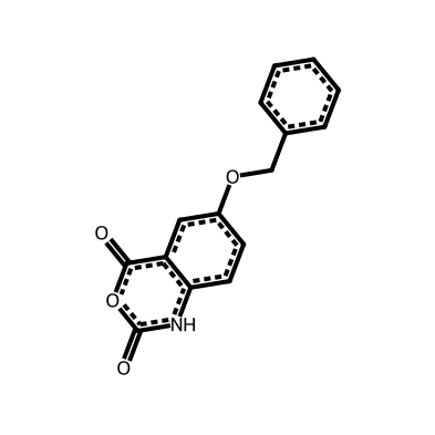 O=c1[nH]c2ccc(OCc3ccccc3)cc2c(=O)o1